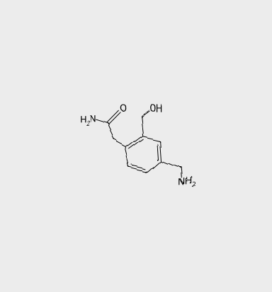 NCc1ccc(CC(N)=O)c(CO)c1